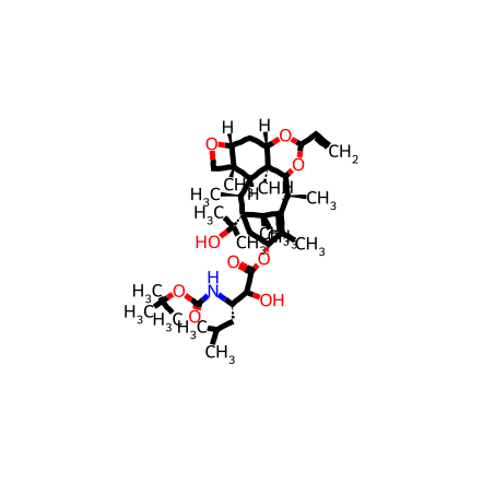 C=CC1O[C@H]2C[C@H]3OC[C@@]3(C)[C@H]3[C@H](C)[C@]4(C(C)(C)O)C[C@H](OC(=O)C(O)[C@H](CC(C)C)NC(=O)OC(C)(C)C)C(C)=C([C@H](C)[C@H](O1)[C@]23C)C4(C)C